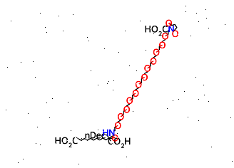 CCCCCCCCCCCC(CCCCCCCCCCC(=O)O)(C(=O)O)C(=O)NCCOCCOCCOCCOCCOCCOCCOCCOCCOCCOCCOCCOCC(C(=O)O)N1C(=O)CCC1=O